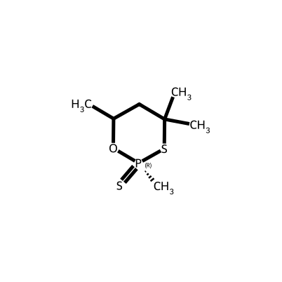 CC1CC(C)(C)S[P@@](C)(=S)O1